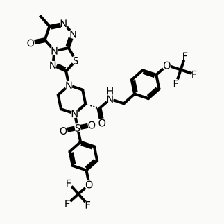 Cc1nnc2sc(N3CCN(S(=O)(=O)c4ccc(OC(F)(F)F)cc4)[C@@H](C(=O)NCc4ccc(OC(F)(F)F)cc4)C3)nn2c1=O